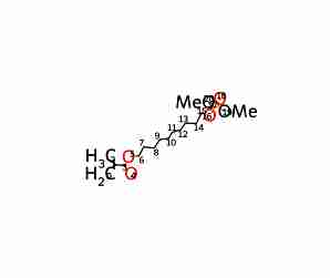 C=C(C)C(=O)OCCCCCCCCCCOP(=O)(OC)OC